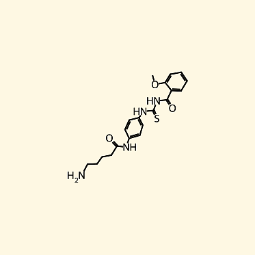 COc1ccccc1C(=O)NC(=S)Nc1ccc(NC(=O)CCCCN)cc1